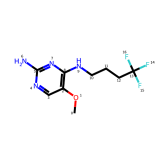 COc1cnc(N)nc1NCCCC(F)(F)F